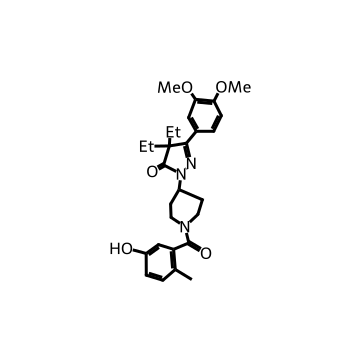 CCC1(CC)C(=O)N(C2CCN(C(=O)c3cc(O)ccc3C)CC2)N=C1c1ccc(OC)c(OC)c1